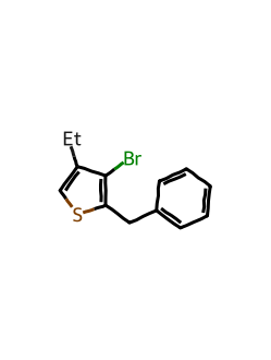 CCc1csc(Cc2ccccc2)c1Br